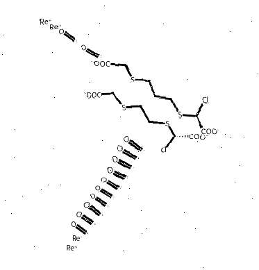 O=C([O-])CSCCCS[C@@H](Cl)C(=O)[O-].O=C([O-])CSCCS[C@@H](Cl)C(=O)[O-].[C]=O.[C]=O.[C]=O.[C]=O.[C]=O.[C]=O.[C]=O.[C]=O.[C]=O.[C]=O.[C]=O.[C]=O.[Re+].[Re+].[Re+].[Re+]